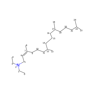 CCN(CC)CC=C(C)CCCC(C)CCCC(C)CCCC(C)C